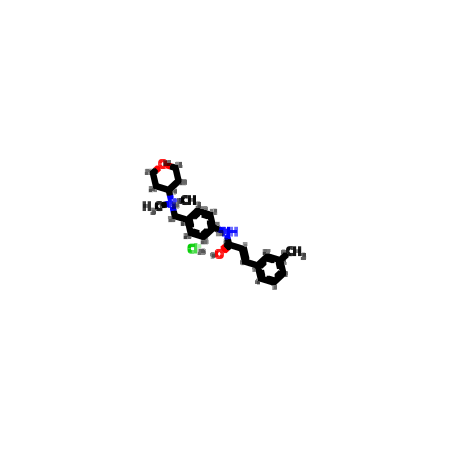 Cc1cccc(C=CC(=O)Nc2ccc(C[N+](C)(C)C3CCOCC3)cc2)c1.[Cl-]